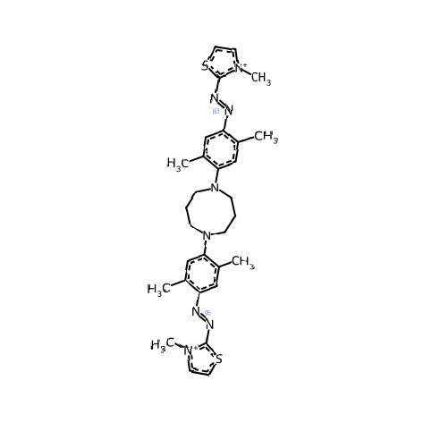 Cc1cc(N2CCCN(c3cc(C)c(/N=N/c4scc[n+]4C)cc3C)CCC2)c(C)cc1/N=N/c1scc[n+]1C